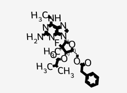 CNc1nc(N)nc2c1ncn2[C@@H]1O[C@H](COC(=O)Cc2ccccc2)[C@@H](OC(=O)C(C)C)[C@@]1(C)F